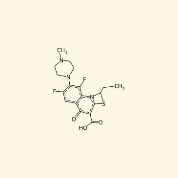 CCC1Sc2c(C(=O)O)c(=O)c3cc(F)c(N4CCN(C)CC4)c(F)c3n21